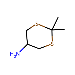 CC1(C)SCC(N)CS1